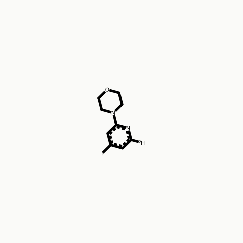 [2H]c1cc(I)cc(N2CCOCC2)n1